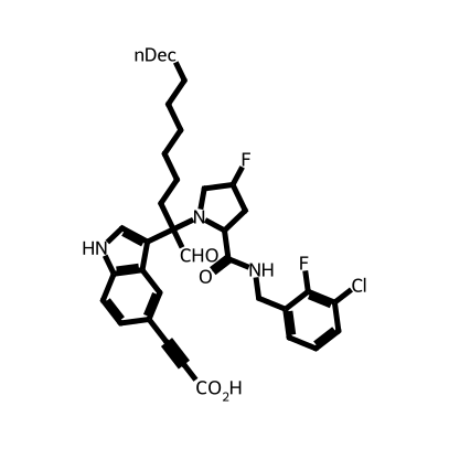 CCCCCCCCCCCCCCCCC(C=O)(c1c[nH]c2ccc(C#CC(=O)O)cc12)N1CC(F)CC1C(=O)NCc1cccc(Cl)c1F